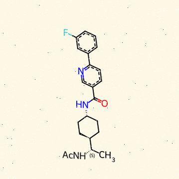 CC(=O)N[C@@H](C)[C@H]1CC[C@H](NC(=O)c2ccc(-c3cccc(F)c3)nc2)CC1